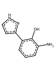 Nc1cccc(-c2cc[nH]n2)c1O